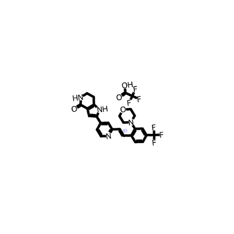 O=C(O)C(F)(F)F.O=C1NCCc2[nH]c(-c3ccnc(/C=C/c4ccc(C(F)(F)F)cc4N4CCOCC4)c3)cc21